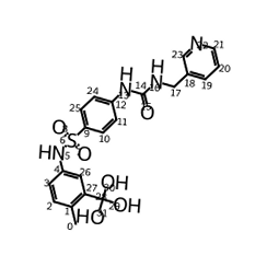 Cc1ccc(NS(=O)(=O)c2ccc(NC(=O)NCc3cccnc3)cc2)cc1C(O)(O)O